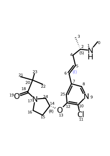 CN[C@@H](C)C/C=C/c1cnc(Cl)c(O[C@@H]2CCN(C(=O)C(C)(C)C)C2)c1